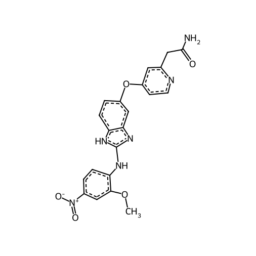 COc1cc([N+](=O)[O-])ccc1Nc1nc2cc(Oc3ccnc(CC(N)=O)c3)ccc2[nH]1